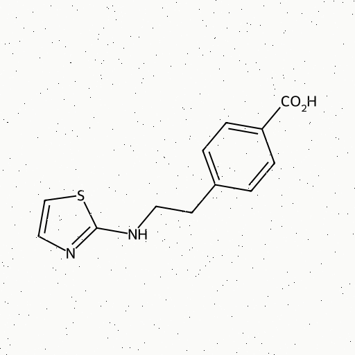 O=C(O)c1ccc(CCNc2nccs2)cc1